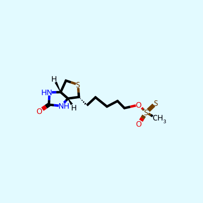 CS(=O)(=S)OCCCCC[C@H]1SC[C@H]2NC(=O)N[C@H]21